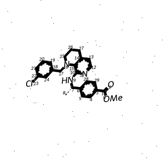 COC(=O)c1ccc([C@H](C)Nc2nccc3c2N(Cc2cccc(Cl)c2)CCC3)cc1